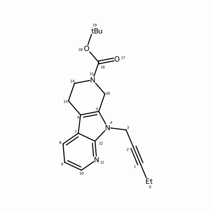 CCC#CCn1c2c(c3cccnc31)CCN(C(=O)OC(C)(C)C)C2